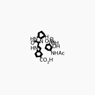 CC(=O)Nc1cccc([As](=O)(O)O)c1O.O=C(O)c1ccc2[nH]c(-c3nc4ccccc4[nH]c3=O)cc2c1